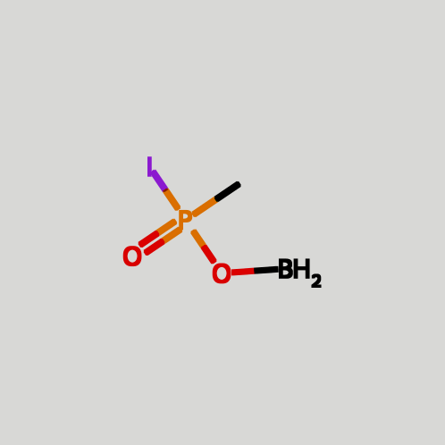 BOP(C)(=O)I